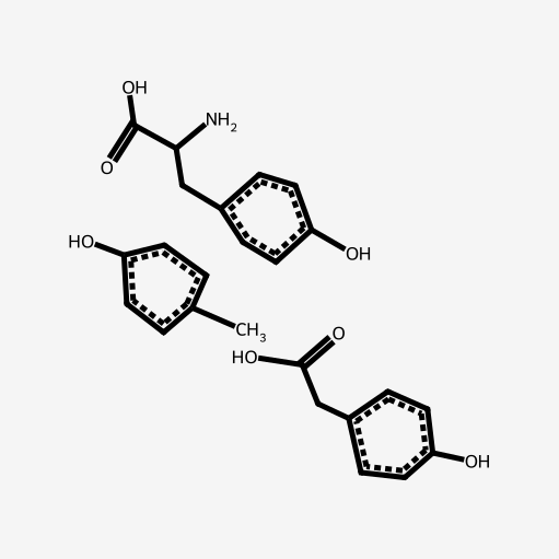 Cc1ccc(O)cc1.NC(Cc1ccc(O)cc1)C(=O)O.O=C(O)Cc1ccc(O)cc1